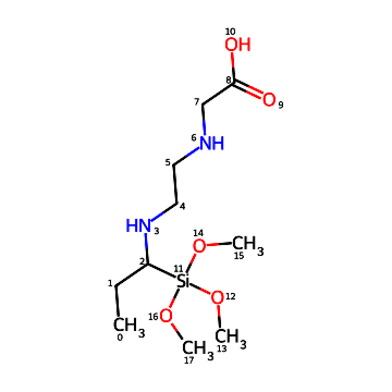 CCC(NCCNCC(=O)O)[Si](OC)(OC)OC